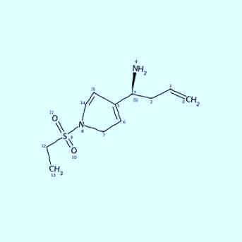 C=CC[C@H](N)C1=CCN(S(=O)(=O)CC)C=C1